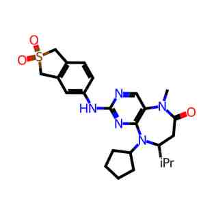 CC(C)C1CC(=O)N(C)c2cnc(Nc3ccc4c(c3)CS(=O)(=O)C4)nc2N1C1CCCC1